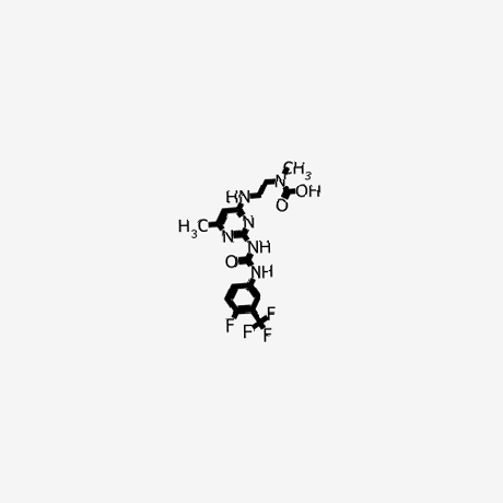 Cc1cc(NCCN(C)C(=O)O)nc(NC(=O)Nc2ccc(F)c(C(F)(F)F)c2)n1